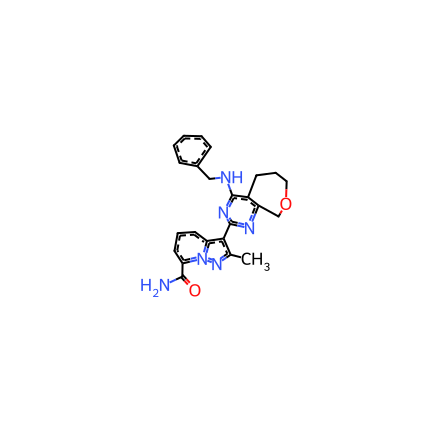 Cc1nn2c(C(N)=O)cccc2c1-c1nc2c(c(NCc3ccccc3)n1)CCCOC2